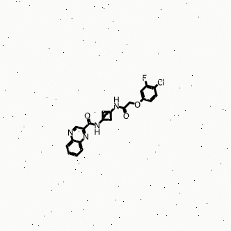 O=C(COc1ccc(Cl)c(F)c1)NC12CC(NC(=O)c3cnc4ccccc4n3)(C1)C2